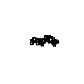 COc1cc2c(Nc3ccc(C)c(Cl)c3Cl)ncnc2cc1OCC1C[C@@H]2CN(C)C[C@@H]2C1